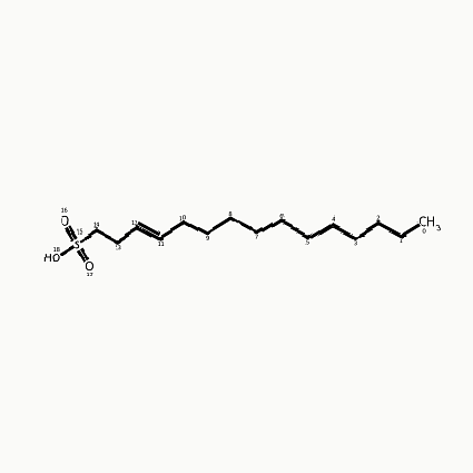 CCCCCCCCCCC/C=C/CCS(=O)(=O)O